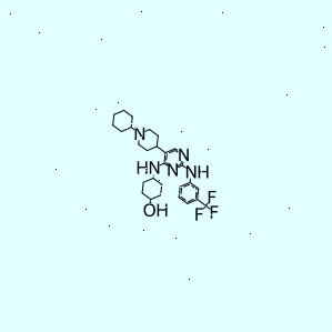 O[C@H]1CC[C@H](Nc2nc(Nc3cccc(C(F)(F)F)c3)ncc2C2CCN(C3CCCCC3)CC2)CC1